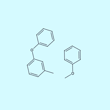 COc1ccccc1.Cc1cccc(Oc2ccccc2)c1